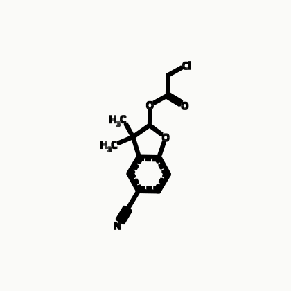 CC1(C)c2cc(C#N)ccc2OC1OC(=O)CCl